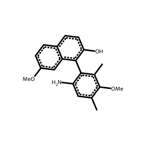 COc1ccc2ccc(O)c(-c3c(N)cc(C)c(OC)c3C)c2c1